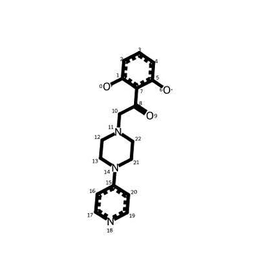 [O]c1cccc([O])c1C(=O)CN1CCN(c2ccncc2)CC1